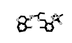 CCC(NN=C1CCOc2cccc(F)c21)OCc1c(C)cccc1-n1nnn(C)c1=O